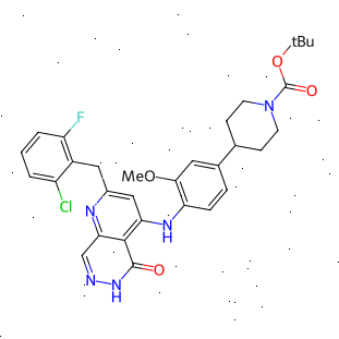 COc1cc(C2CCN(C(=O)OC(C)(C)C)CC2)ccc1Nc1cc(Cc2c(F)cccc2Cl)nc2cn[nH]c(=O)c12